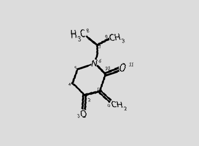 C=C1C(=O)CCN(C(C)C)C1=O